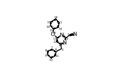 N#Cc1nc(Cc2ccccc2)cc(Oc2ccccc2)n1